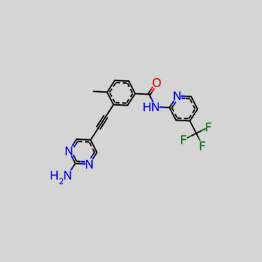 Cc1ccc(C(=O)Nc2cc(C(F)(F)F)ccn2)cc1C#Cc1cnc(N)nc1